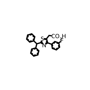 O=C(O)Cc1sc(C(c2ccccc2)c2ccccc2)nc1-c1cccc(F)c1